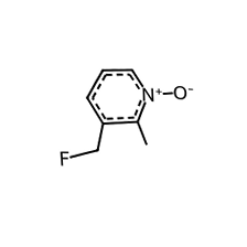 Cc1c(CF)ccc[n+]1[O-]